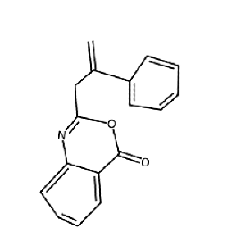 C=C(Cc1nc2ccccc2c(=O)o1)c1ccccc1